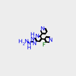 NNc1nc2cc(-c3ccncc3F)c(-c3cccnc3)nc2[nH]1